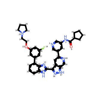 O=C(Nc1cncc(-c2cc3c(-c4nc5c(-c6cc(F)cc(OCCN7CCCC7)c6)cccc5[nH]4)n[nH]c3cn2)c1)C1CCCC1